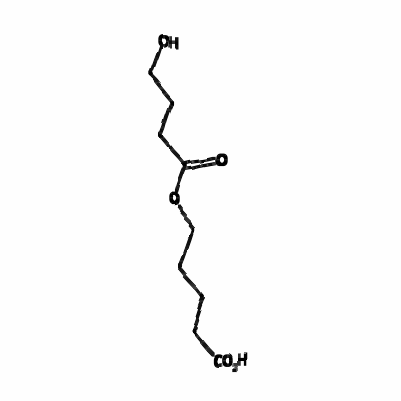 O=C(O)CCCCOC(=O)CCCO